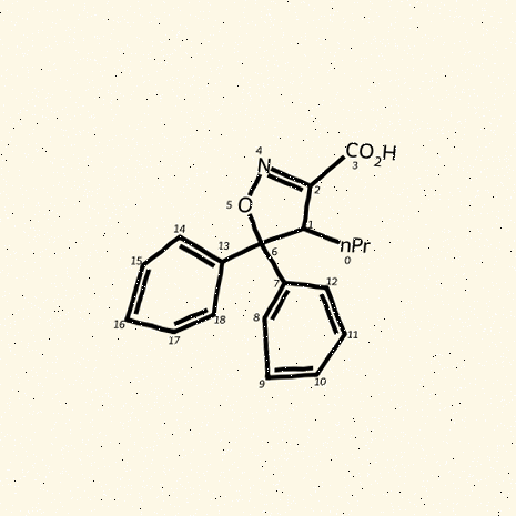 CCCC1C(C(=O)O)=NOC1(c1ccccc1)c1ccccc1